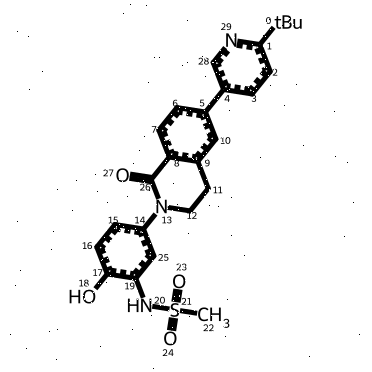 CC(C)(C)c1ccc(-c2ccc3c(c2)CCN(c2ccc(O)c(NS(C)(=O)=O)c2)C3=O)cn1